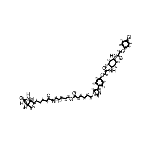 O=C(CCCC[C@H]1SC[C@@H]2NC(=O)N[C@@H]21)NCCCCCOC(=O)CCCCCn1cc(-c2ccc(OCC(=O)N[C@H]3CC[C@H](NC(=O)COc4ccc(Cl)cc4)CC3)cc2)nn1